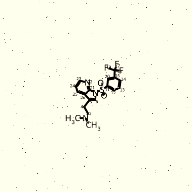 CN(C)CCc1cn(S(=O)(=O)c2cccc(C(F)(F)F)c2)c2ncccc12